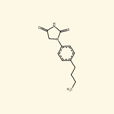 CCCCc1ccc(N2CC(=O)NC2=S)cc1